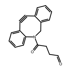 O=CCCC(=O)N1Cc2ccccc2C#Cc2ccccc21